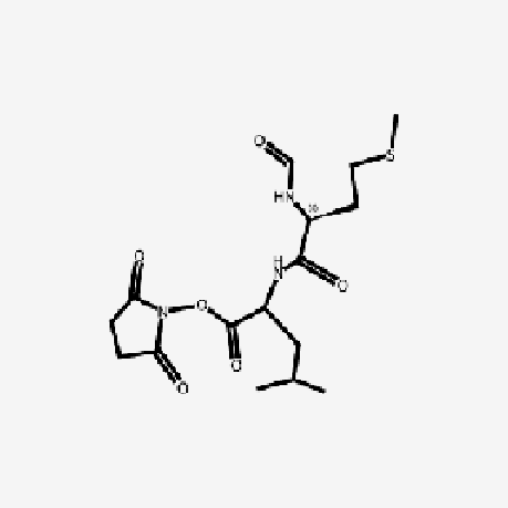 CSCC[C@H](NC=O)C(=O)NC(CC(C)C)C(=O)ON1C(=O)CCC1=O